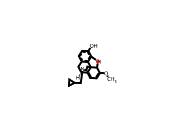 COC1=CC=C2[C@H]3Cc4ccc(O)c5c4C2(CCN3CC2CC2)[C@H]1O5